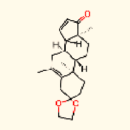 CC1=C2CC3(CC[C@]2(C)[C@H]2CC[C@]4(C)C(=O)C=C[C@H]4[C@@H]2C1)OCCO3